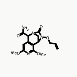 C=CCON1C(=O)N2CC1c1c(cc(OC)nc1OC)C2C(N)=O